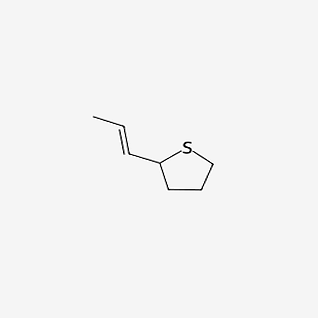 CC=CC1CCCS1